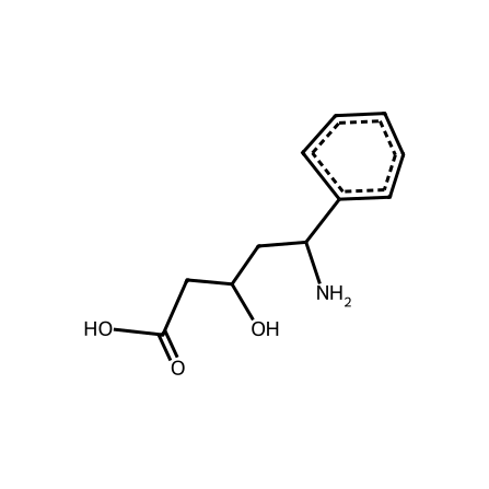 NC(CC(O)CC(=O)O)c1ccccc1